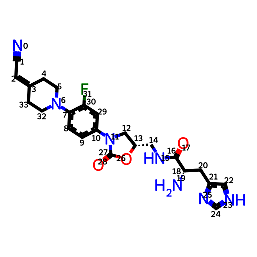 N#CC=C1CCN(c2ccc(N3C[C@H](CNC(=O)[C@@H](N)Cc4c[nH]cn4)OC3=O)cc2F)CC1